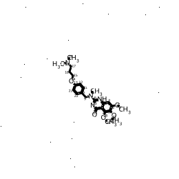 COc1cc2[nH]c(N(C)Cc3ccc(OCCCN(C)C)cc3)nc(=O)c2c(OC)c1OC